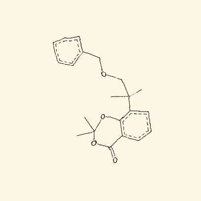 CC1(C)OC(=O)c2cccc(C(C)(C)COCc3ccccc3)c2O1